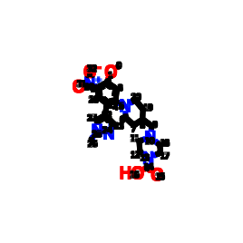 COc1cc(N2CCC(CN3CCN(C(=O)O)CC3)CC2)c(-c2cnn(C)c2)cc1[N+](=O)[O-]